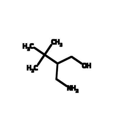 CC(C)(C)C(CN)CO